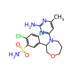 Cc1cc(N2CCCOCC2c2cc(S(N)(=O)=O)c(Cl)cc2Cl)nc(N)n1